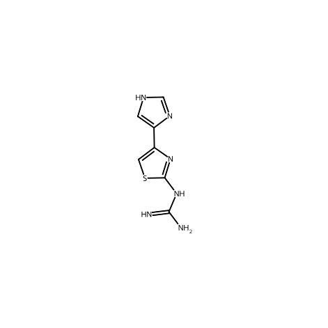 N=C(N)Nc1nc(-c2c[nH]cn2)cs1